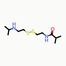 CC(C)NCCSSCCNC(=O)C(C)C